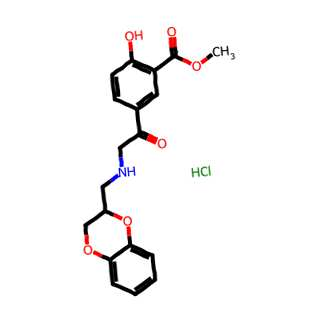 COC(=O)c1cc(C(=O)CNCC2COc3ccccc3O2)ccc1O.Cl